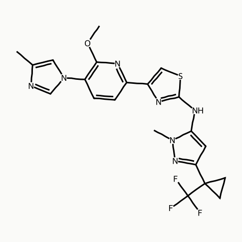 COc1nc(-c2csc(Nc3cc(C4(C(F)(F)F)CC4)nn3C)n2)ccc1-n1cnc(C)c1